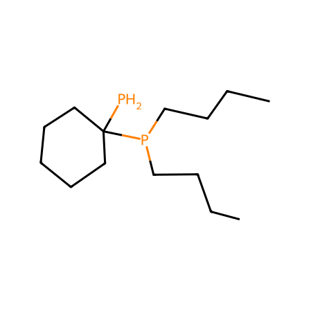 CCCCP(CCCC)C1(P)CCCCC1